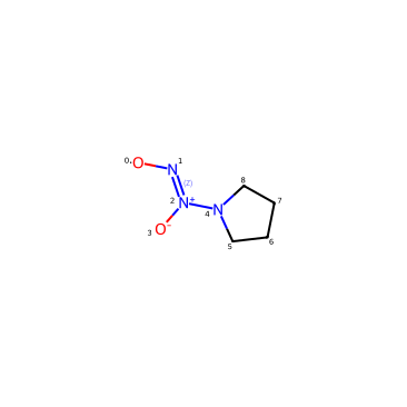 [O]/N=[N+](\[O-])N1CCCC1